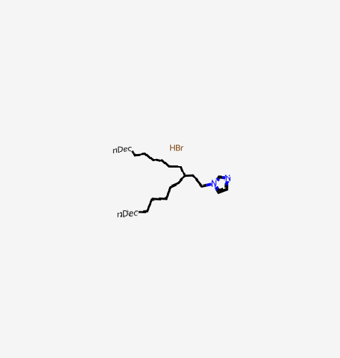 Br.CCCCCCCCCCCCCCCCC(CCCCCCCCCCCCCCC)CCn1ccnc1